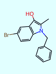 Cc1c(O)c2cc(Br)ccc2n1Cc1ccccc1